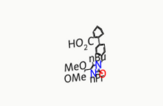 CCCCc1c(C(OC)OC)n(CCC)c(=O)n1Cc1ccc(-c2ccccc2C(=O)O)cc1